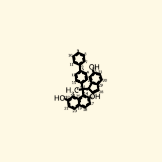 CC(c1ccc(-c2ccccc2)cc1)(c1c(O)ccc2ccc(O)cc12)C1C=Cc2ccc(O)cc21